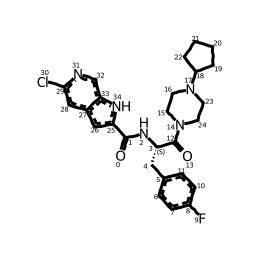 O=C(N[C@@H](Cc1ccc(F)cc1)C(=O)N1CCN(C2CCCC2)CC1)c1cc2cc(Cl)ncc2[nH]1